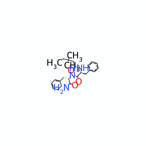 CCC(C)(C)CC(=O)N[C@@H](Cc1ccccc1)C(=O)N[C@@H](CC1=CC=CCC1)C(N)=O